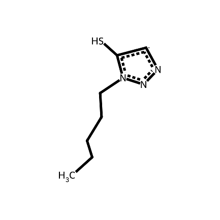 CCCCCn1nn[c]c1S